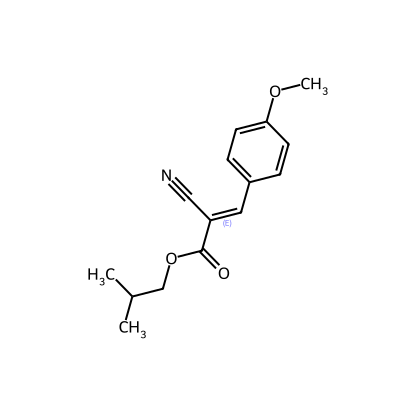 COc1ccc(/C=C(\C#N)C(=O)OCC(C)C)cc1